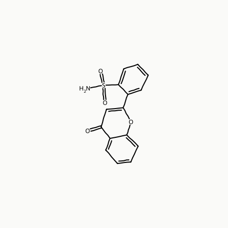 NS(=O)(=O)c1ccccc1-c1cc(=O)c2ccccc2o1